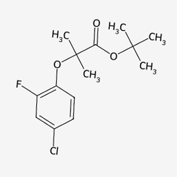 CC(C)(C)OC(=O)C(C)(C)Oc1ccc(Cl)cc1F